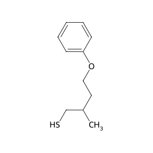 CC(CS)CCOc1ccccc1